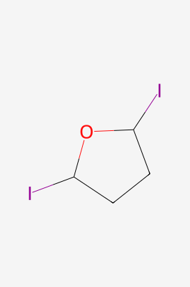 IC1CCC(I)O1